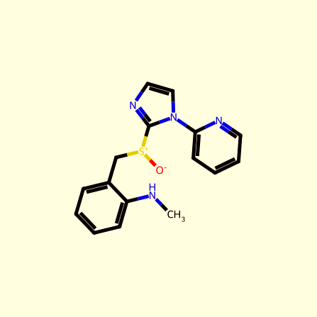 CNc1ccccc1C[S+]([O-])c1nccn1-c1ccccn1